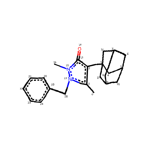 Cc1c(C23CC4CC(CC(C4)C2)C3)c(=O)n(C)n1Cc1ccccc1